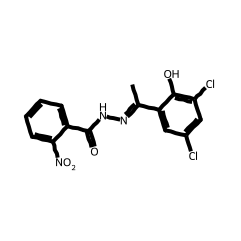 C/C(=N\NC(=O)c1ccccc1[N+](=O)[O-])c1cc(Cl)cc(Cl)c1O